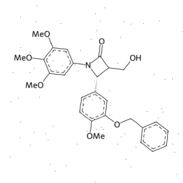 COc1ccc([C@H]2C(CO)C(=O)N2c2cc(OC)c(OC)c(OC)c2)cc1OCc1ccccc1